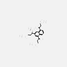 CCCC(=O)c1cc(C(=O)CCC)c2cccc(C(=O)CCC)c2c1C